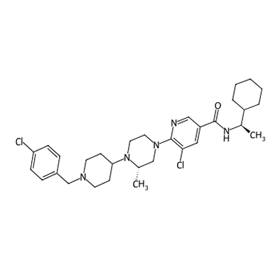 C[C@@H](NC(=O)c1cnc(N2CCN(C3CCN(Cc4ccc(Cl)cc4)CC3)[C@@H](C)C2)c(Cl)c1)C1CCCCC1